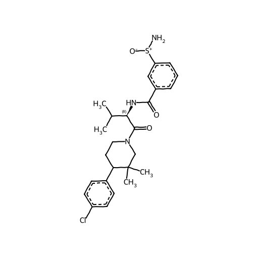 CC(C)[C@@H](NC(=O)c1cccc([S+](N)[O-])c1)C(=O)N1CCC(c2ccc(Cl)cc2)C(C)(C)C1